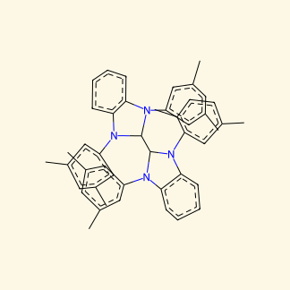 Cc1cc(C)cc(N2c3ccccc3N(c3cc(C)cc(C)c3)C2C2N(c3cc(C)cc(C)c3)c3ccccc3N2c2cc(C)ccc2C)c1